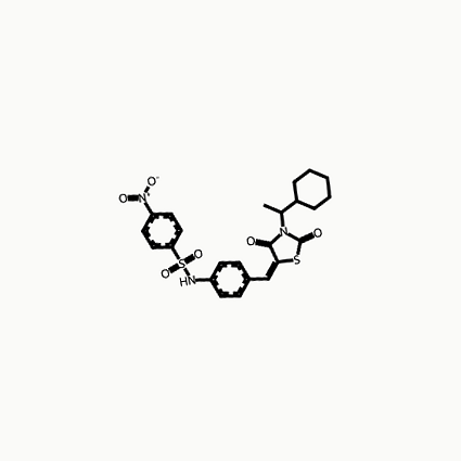 CC(C1CCCCC1)N1C(=O)SC(=Cc2ccc(NS(=O)(=O)c3ccc([N+](=O)[O-])cc3)cc2)C1=O